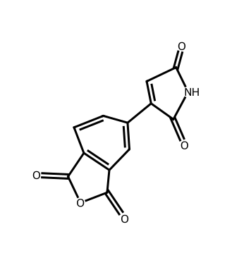 O=C1C=C(c2ccc3c(c2)C(=O)OC3=O)C(=O)N1